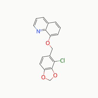 Clc1c(COc2cccc3cccnc23)ccc2c1OCO2